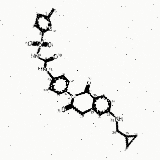 Cc1ccc(S(=O)(=O)NC(=O)Nc2ccc(N3C(=O)Cc4cc(NCC5CC5)ccc4C3=O)cc2)s1